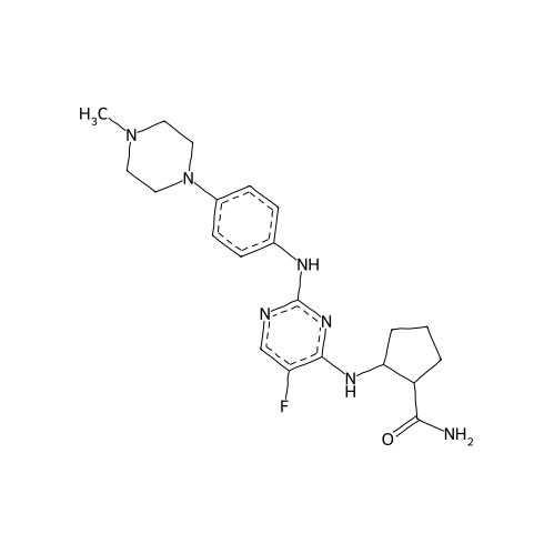 CN1CCN(c2ccc(Nc3ncc(F)c(NC4CCCC4C(N)=O)n3)cc2)CC1